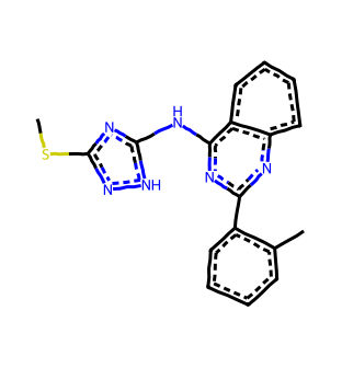 CSc1n[nH]c(Nc2nc(-c3ccccc3C)nc3ccccc23)n1